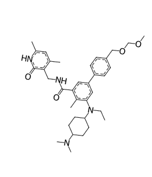 CCN(c1cc(-c2ccc(COCOC)cc2)cc(C(=O)NCc2c(C)cc(C)[nH]c2=O)c1C)C1CCC(N(C)C)CC1